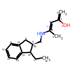 C=C(O)/C=C(\C)NC[C@@H]1Cc2ccccc2C1CC